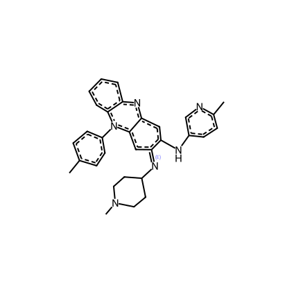 Cc1ccc(-n2c3c/c(=N\C4CCN(C)CC4)c(Nc4ccc(C)nc4)cc-3nc3ccccc32)cc1